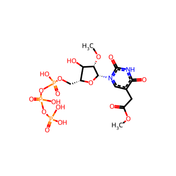 COC(=O)Cc1cn([C@@H]2O[C@H](COP(=O)(O)OP(=O)(O)OP(=O)(O)O)C(O)[C@@H]2OC)c(=O)[nH]c1=O